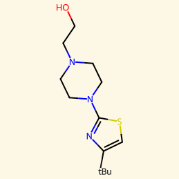 CC(C)(C)c1csc(N2CCN(CCO)CC2)n1